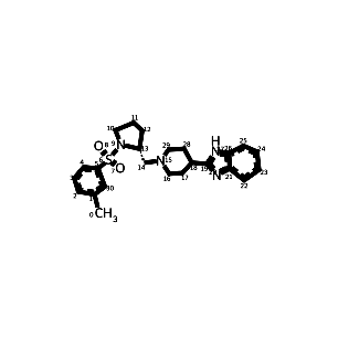 Cc1cccc(S(=O)(=O)N2CCC[C@@H]2CN2CCC(c3nc4ccccc4[nH]3)CC2)c1